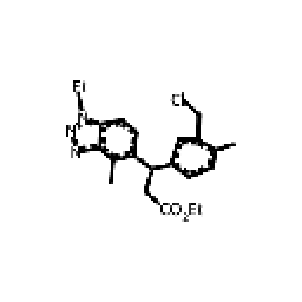 CCOC(=O)CC(c1ccc(C)c(CCl)c1)c1ccc2c(nnn2CC)c1C